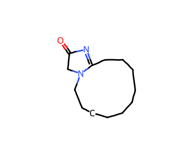 O=C1CN2CCCCCCCCCCC2=N1